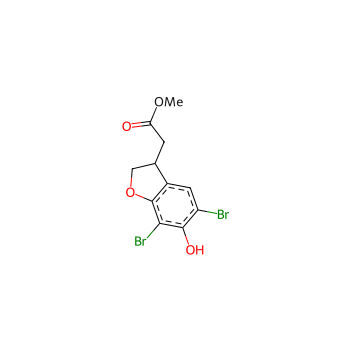 COC(=O)CC1COc2c1cc(Br)c(O)c2Br